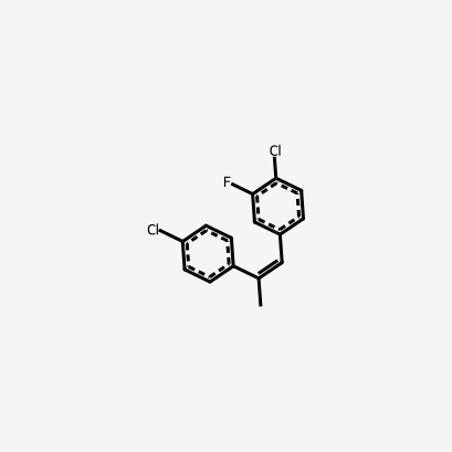 CC(=Cc1ccc(Cl)c(F)c1)c1ccc(Cl)cc1